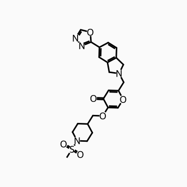 CS(=O)(=O)N1CCC(COc2coc(CN3Cc4ccc(-c5nnco5)cc4C3)cc2=O)CC1